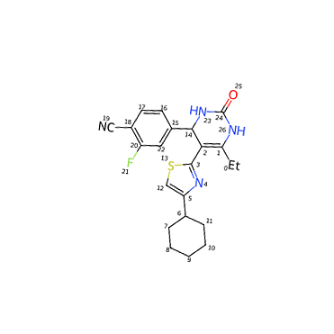 CCC1=C(c2nc(C3CCCCC3)cs2)C(c2ccc(C#N)c(F)c2)NC(=O)N1